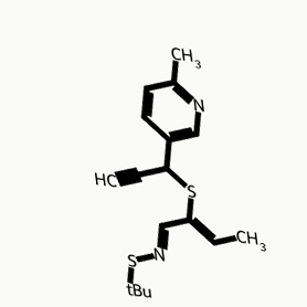 C#CC(SC(=C\C)/C=N/SC(C)(C)C)c1ccc(C)nc1